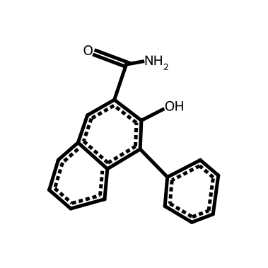 NC(=O)c1cc2ccccc2c(-c2ccccc2)c1O